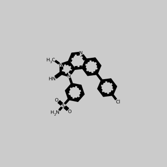 Cn1c(=N)n(-c2cccc(S(N)(=O)=O)c2)c2c3cc(-c4ccc(Cl)cc4)ccc3ncc21